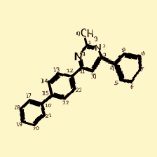 Cc1nc(C2=CCCC=C2)cc(-c2ccc(-c3ccccc3)cc2)n1